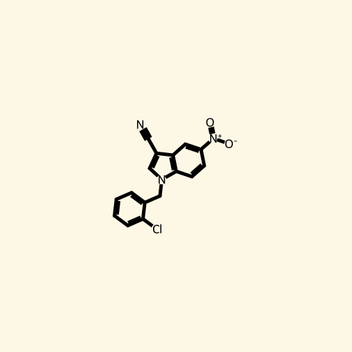 N#Cc1cn(Cc2ccccc2Cl)c2ccc([N+](=O)[O-])cc12